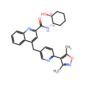 Cc1noc(C)c1-c1ccc(Cc2cc(C(=O)N[C@H]3CCCC[C@@H]3O)nc3ccccc23)cn1